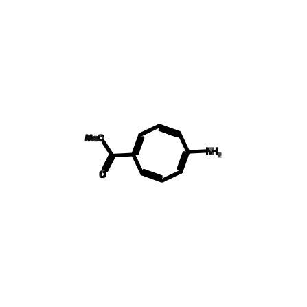 COC(=O)C1=C/C=C\C(N)=C/C=C\1